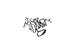 CC(=O)NN(C(=O)c1ccccc1)C(C)(C)C